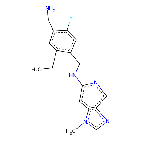 CCc1cc(CN)c(F)cc1CNc1cc2c(cn1)ncn2C